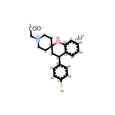 O=C([O-])CN1CCC2(CC1)CC(c1ccc(F)cc1)c1ccccc1O2.[Li+]